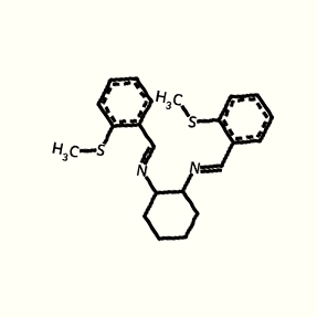 CSc1ccccc1/C=N/C1CCCCC1/N=C/c1ccccc1SC